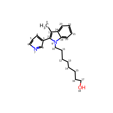 Cc1c(-c2cccnc2)n(CCCCCCCCO)c2ccccc12